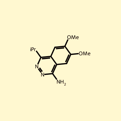 COc1cc2c(N)nnc(C(C)C)c2cc1OC